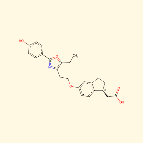 CCc1oc(-c2ccc(O)cc2)nc1CCOc1ccc2c(c1)CC[C@H]2CC(=O)O